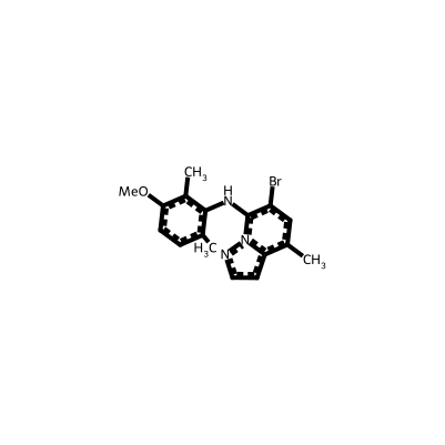 COc1ccc(C)c(Nc2c(Br)cc(C)c3ccnn23)c1C